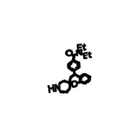 CCN(CC)C(=O)c1ccc(C2CC3(CCCNCC3)Oc3ccccc32)cc1